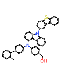 Cc1ccccc1-c1ccc(N(c2ccc(CO)cc2)c2cccc3c2c2ccccc2n3-c2ccc3sc4ccccc4c3c2)cc1